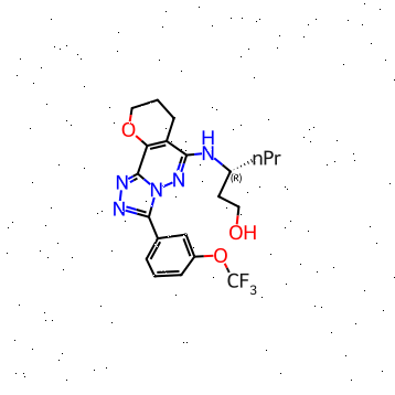 CCC[C@H](CCO)Nc1nn2c(-c3cccc(OC(F)(F)F)c3)nnc2c2c1CCCO2